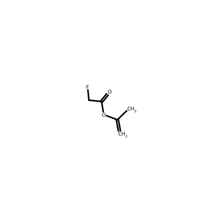 C=C(C)OC(=O)CF